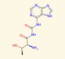 C[C@@H](O)[C@H](N)C(=O)NC(=O)Nc1n[c]nc2nc[nH]c12